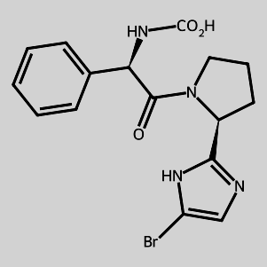 O=C(O)N[C@@H](C(=O)N1CCC[C@H]1c1ncc(Br)[nH]1)c1ccccc1